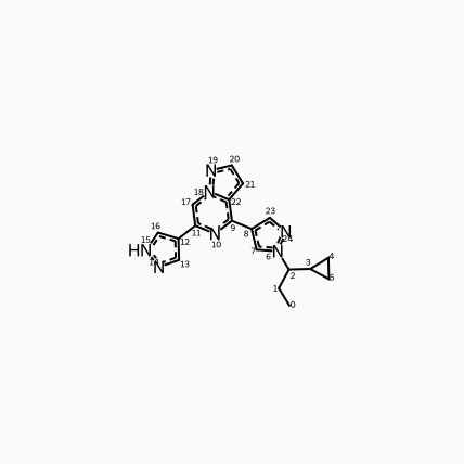 CCC(C1CC1)n1cc(-c2nc(-c3cn[nH]c3)cn3nccc23)cn1